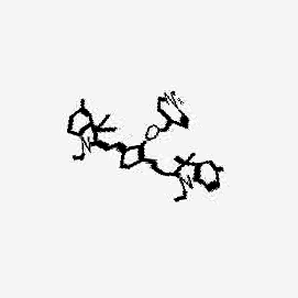 CCN1/C(=C/C=C2\CCC(/C=C/C3=[N+](CC)c4ccc(C)cc4C3(C)C)=C2OCc2cc[n+](C)cc2)C(C)(C)c2cc(C)ccc21